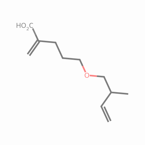 C=CC(C)COCCCC(=C)C(=O)O